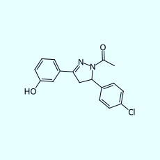 CC(=O)N1N=C(c2cccc(O)c2)CC1c1ccc(Cl)cc1